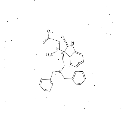 CCC(=O)C[C@@H](C)[C@]1(CCN(Cc2ccccc2)Cc2ccccc2)C(=O)Nc2ccccc21